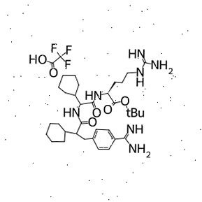 CC(C)(C)OC(=O)[C@H](CCCNC(=N)N)NC(=O)C(NC(=O)C(Cc1ccc(C(=N)N)cc1)C1CCCCC1)C1CCCCC1.O=C(O)C(F)(F)F